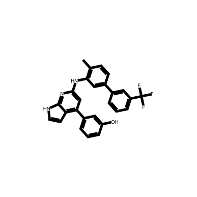 Cc1ccc(-c2cccc(C(F)(F)F)c2)cc1Nc1cc(-c2cccc(O)c2)c2cc[nH]c2n1